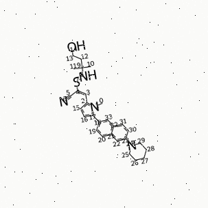 Cn1c(/C=C(\C#N)SNC(C)(C)CCO)ccc1-c1ccc2cc(N3CCCCC3)ccc2c1